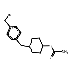 NC(=O)OC1CCN(Cc2ccc(CBr)cc2)CC1